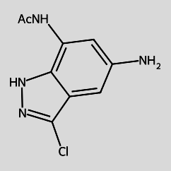 CC(=O)Nc1cc(N)cc2c(Cl)n[nH]c12